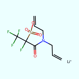 C=CCN(CC=C)C(=O)C(F)(C(F)(F)F)S(=O)(=O)[O-].[Li+]